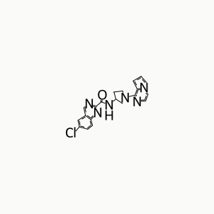 O=C(NC1CCN(c2nccn3cccc23)C1)c1ncc2cc(Cl)ccc2n1